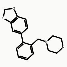 c1ccc(-c2ccc3c(c2)OCO3)c(CN2CC[N]CC2)c1